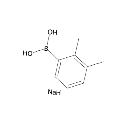 Cc1cccc(B(O)O)c1C.[NaH]